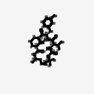 C=CC[C@@H](C)OC(=O)[C@@H]1CCCN(C(=O)[C@H](Cc2cccc(C)c2)NC(=O)[C@@H](NC(=O)OC(C)(C)C)C(C)C)N1